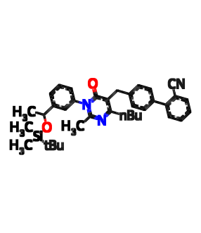 CCCCc1nc(C)n(-c2cccc(C(C)O[Si](C)(C)C(C)(C)C)c2)c(=O)c1Cc1ccc(-c2ccccc2C#N)cc1